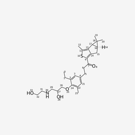 CCc1cc(CCC(=O)c2sc(C)c3c2C[C@H]2C3C2(C)C)cc(C)c1OCC(O)CNCCO